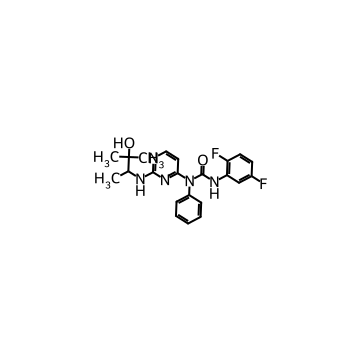 CC(Nc1nccc(N(C(=O)Nc2cc(F)ccc2F)c2ccccc2)n1)C(C)(C)O